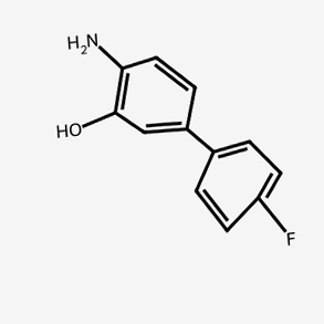 Nc1ccc(-c2ccc(F)cc2)cc1O